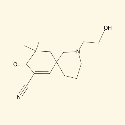 CC1(C)CC2(C=C(C#N)C1=O)CCCN(CCO)C2